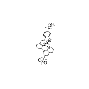 CC(C)(O)c1ccc(C(Cc2cccc(-c3cc(C(C)(C)S(C)(=O)=O)cc4cccnc34)c2)S(C)(=O)=O)cc1